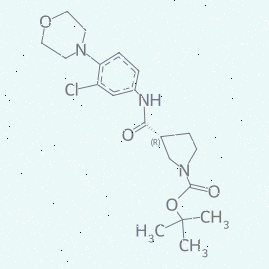 CC(C)(C)OC(=O)N1CC[C@@H](C(=O)Nc2ccc(N3CCOCC3)c(Cl)c2)C1